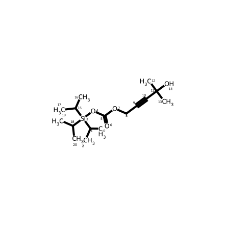 CC(C)[Si](OC(=O)OCC#CC(C)(C)O)(C(C)C)C(C)C